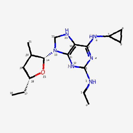 CCNC1N=C(NC2CC2)C2=C(N1)N([C@@H]1O[C@H](CC)CC1C)CN2